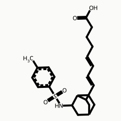 Cc1ccc(S(=O)(=O)NC2CC3CCC2C(C=CC=CCCCC(=O)O)C3)cc1